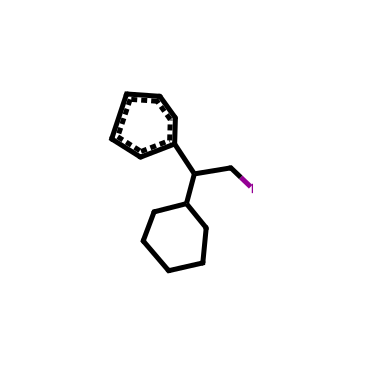 ICC(c1ccccc1)C1CCCCC1